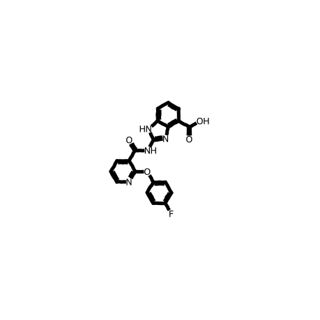 O=C(Nc1nc2c(C(=O)O)cccc2[nH]1)c1cccnc1Oc1ccc(F)cc1